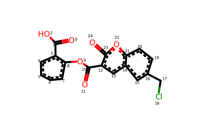 O=C(O)c1ccccc1OC(=O)c1cc2cc(CCl)ccc2oc1=O